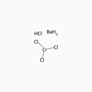 Cl.[BaH2].[Cl][Cr]([Cl])[Cl]